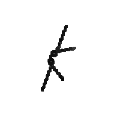 CCCCCCCCCCCCN(CCCCCCCC)c1ccc(Cc2ccc(N(CCCCCCCC)CCCCCCCCCCCC)cc2)cc1